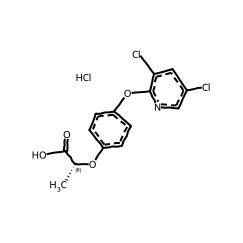 C[C@@H](Oc1ccc(Oc2ncc(Cl)cc2Cl)cc1)C(=O)O.Cl